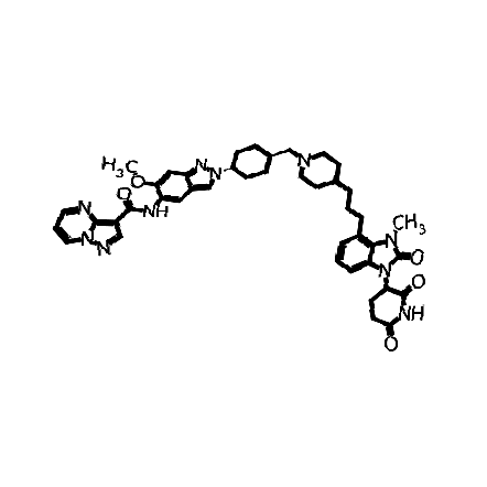 COc1cc2nn([C@H]3CC[C@H](CN4CCC(CCCc5cccc6c5n(C)c(=O)n6C5CCC(=O)NC5=O)CC4)CC3)cc2cc1NC(=O)c1cnn2cccnc12